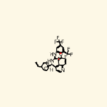 C=CC1CN2CCC1C[C@@H]2[C@H](NC(=S)Nc1cc(C(F)(F)F)cc(C(F)(F)F)c1)c1ccnc2ccc(OC)cc12